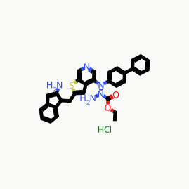 CCOC(=O)N(N)N(c1ccc(-c2ccccc2)cc1)c1cncc2sc(CC3C(N)=Cc4ccccc43)cc12.Cl